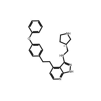 c1ccc(Oc2ccc(CCc3ccnc4[nH]nc(NC[C@H]5CCNC5)c34)cc2)cc1